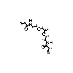 C=CC(=O)NCCOCC(C)OCCNC(=O)C=C